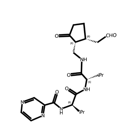 CC(C)[C@H](NC(=O)[C@H](NC(=O)c1cnccn1)C(C)C)C(=O)NC[C@@H]1C(=O)CC[C@@H]1CC=O